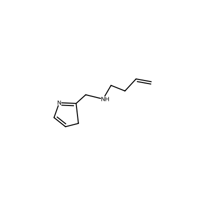 C=CCCNCC1=NC=CC1